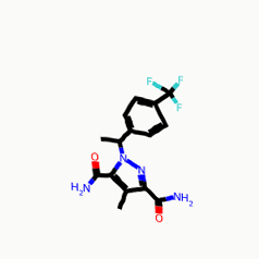 Cc1c(C(N)=O)nn(C(C)c2ccc(C(F)(F)F)cc2)c1C(N)=O